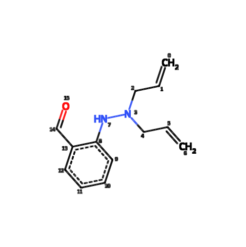 C=CCN(CC=C)Nc1ccccc1C=O